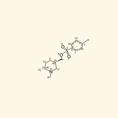 Cc1ccc(S(=O)(=O)OC[C@@H]2CC[C@@H](C)N(C)C2)cc1